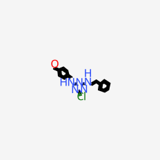 O=Cc1ccc(CNc2nc(Cl)nc(NCCc3ccccc3)n2)cc1